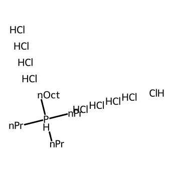 CCCCCCCC[PH](CCC)(CCC)CCC.Cl.Cl.Cl.Cl.Cl.Cl.Cl.Cl.Cl